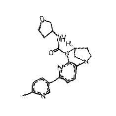 Cc1ccc(-c2ccc3c(n2)N(C(=O)NC2CCOC2)[C@H]2CCN3C2)cn1